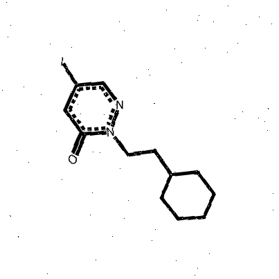 O=c1cc(I)cnn1CCC1CCCCC1